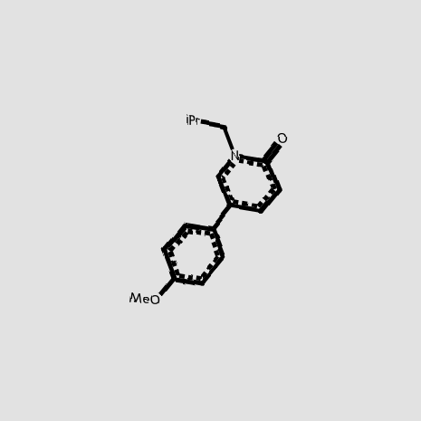 COc1ccc(-c2ccc(=O)n(CC(C)C)c2)cc1